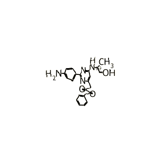 C[C@@H](CO)Nc1cc(CS(=O)(=O)c2ccccc2)nc(-c2ccc(N)cc2)n1